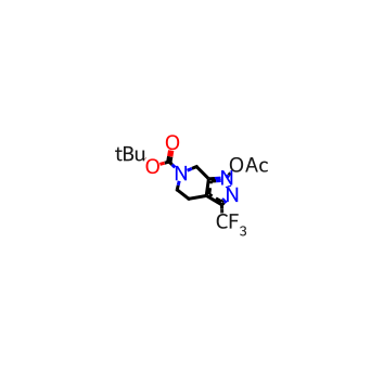 CC(=O)On1nc(C(F)(F)F)c2c1CN(C(=O)OC(C)(C)C)CC2